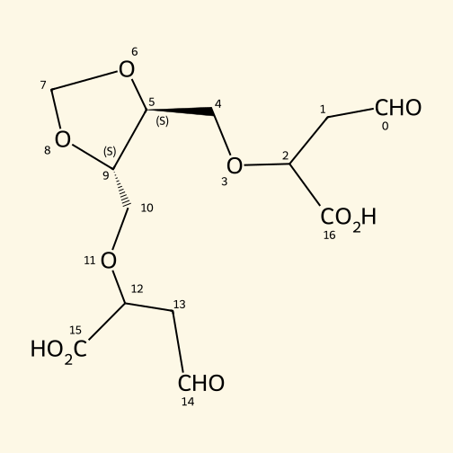 O=CCC(OC[C@@H]1OCO[C@H]1COC(CC=O)C(=O)O)C(=O)O